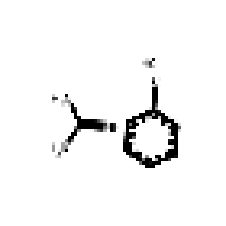 Cl.Clc1ccccc1.N=C(N)N